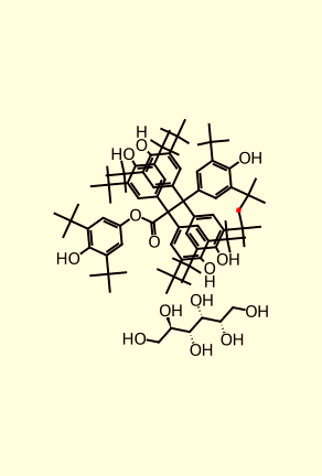 CC(C)(C)c1cc(OC(=O)C(c2cc(C(C)(C)C)c(O)c(C(C)(C)C)c2)(c2cc(C(C)(C)C)c(O)c(C(C)(C)C)c2)C(c2cc(C(C)(C)C)c(O)c(C(C)(C)C)c2)(c2cc(C(C)(C)C)c(O)c(C(C)(C)C)c2)c2cc(C(C)(C)C)c(O)c(C(C)(C)C)c2)cc(C(C)(C)C)c1O.OC[C@@H](O)[C@@H](O)[C@H](O)[C@@H](O)CO